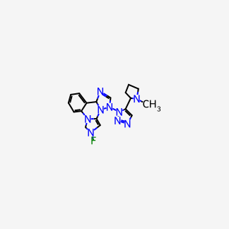 CN1CCCC1c1cnnn1N1C=NC2c3ccccc3N3CN(F)C=C3N21